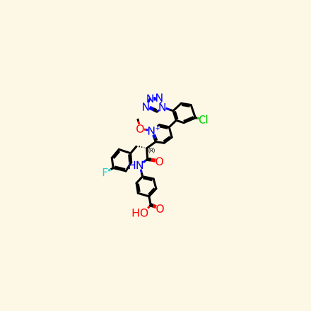 CO[n+]1cc(-c2cc(Cl)ccc2-n2cnnn2)ccc1[C@@H](Cc1ccc(F)cc1)C(=O)Nc1ccc(C(=O)O)cc1